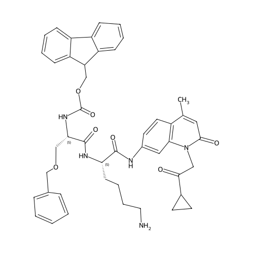 Cc1cc(=O)n(CC(=O)C2CC2)c2cc(NC(=O)[C@H](CCCCN)NC(=O)[C@H](COCc3ccccc3)NC(=O)OCC3c4ccccc4-c4ccccc43)ccc12